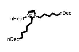 CCCCCCCCCCCCCCCc1n(CCCCCCCCCCCCCCC)cc[n+]1CCCCCCC